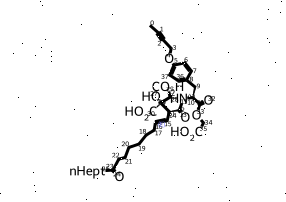 CC#CCOc1ccc(C[C@H](NC(=O)[C@@H](/C=C/CCCCCCC(=O)CCCCCCC)[C@@](O)(CC(=O)O)C(=O)O)C(=O)OCC(=O)O)cc1